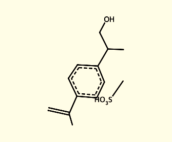 C=C(C)c1ccc(C(C)CO)cc1.CS(=O)(=O)O